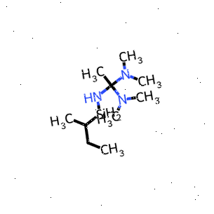 CCC(C)[SiH2]NC(C)(N(C)C)N(C)C